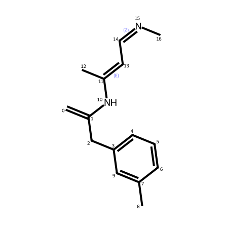 C=C(Cc1cccc(C)c1)N/C(C)=C/C=N\C